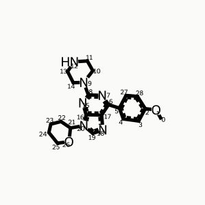 COc1ccc(-c2nc(N3CCNCC3)nc3c2ncn3C2CCCCO2)cc1